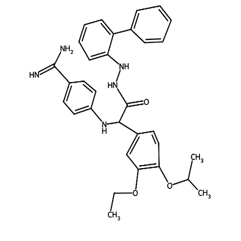 CCOc1cc(C(Nc2ccc(C(=N)N)cc2)C(=O)NNc2ccccc2-c2ccccc2)ccc1OC(C)C